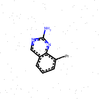 CC(C)c1cccc2cnc(N)nc12